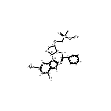 CC(C)OP(C)(=O)CO[C@H]1CO[C@@H](n2cnc3c(Cl)nc(N)nc32)[C@@H]1OC(=O)c1ccccc1